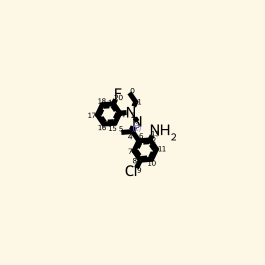 CCN(/N=C(\C)c1cc(Cl)ccc1N)c1ccccc1F